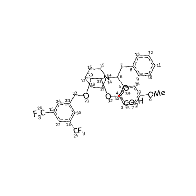 COc1cccc(C(Cc2ccccc2)[N+]23CCC(CC2)C(OCc2cc(C(F)(F)F)cc(C(F)(F)F)c2)C3OC(=O)C(=O)O)c1